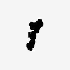 C=C(C)C(=O)Oc1ccc(-c2ccc(OCCOc3ccc(OC(=O)C(=C)C)c(OC(=O)C(=C)C)c3)c(F)c2)cc1